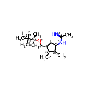 CC(=N)NC1C[C@@H](CO[Si](C)(C)C(C)(C)C)[C@H](C)C1C